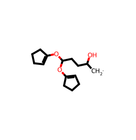 [CH2]C(O)CCC(OC1=CCCC1)OC1=CCCC1